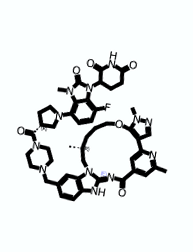 Cc1cc2cc(n1)-c1cnn(C)c1OCCC[C@@H](C)CN1/C(=N/C2=O)Nc2ccc(CN3CCN(C(=O)[C@@H]4CCN(c5ccc(F)c6c5n(C)c(=O)n6C5CCC(=O)NC5=O)C4)CC3)cc21